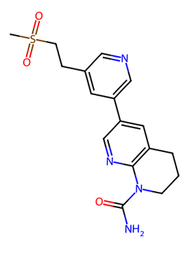 CS(=O)(=O)CCc1cncc(-c2cnc3c(c2)CCCN3C(N)=O)c1